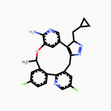 CC1Oc2cc(cnc2N)C2=C(Cc3cc(F)cnc3-c3ccc(F)cc31)N=NC2CC1CC1